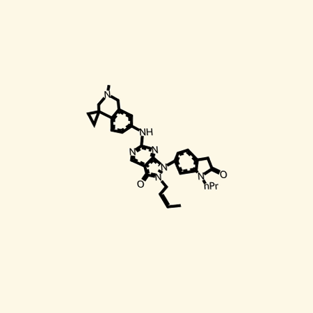 C/C=C\Cn1c(=O)c2cnc(Nc3ccc4c(c3)CN(C)CC43CC3)nc2n1-c1ccc2c(c1)N(CCC)C(=O)C2